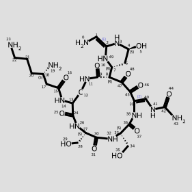 N/C=C1/N[C@@H](O)C[C@H]([C@H]2C(=O)NCC(NC(=O)C[C@@H](N)CCCN)C(=O)N[C@@H](CO)C(=O)N[C@@H](CO)C(=O)N/C(=C\NC(N)=O)C(=O)C2=O)N1